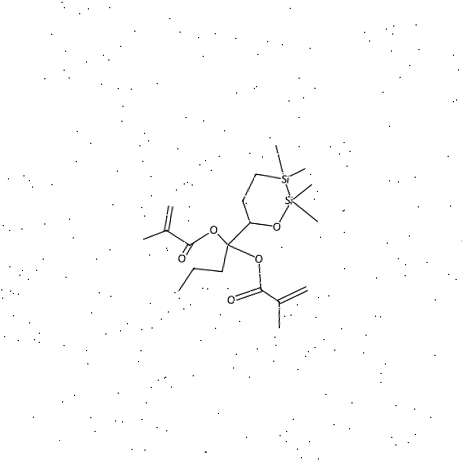 C=C(C)C(=O)OC(CCC)(OC(=O)C(=C)C)C1CC[Si](C)(C)[Si](C)(C)O1